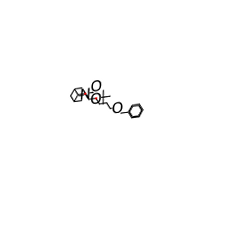 CC(C)(C)OC(=O)N1CC2CC(C1)C2=CCCCCCOCc1ccccc1